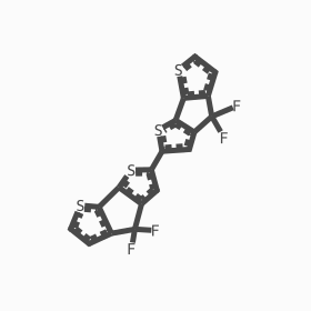 FC1(F)c2ccsc2-c2sc(-c3cc4c(s3)-c3sccc3C4(F)F)cc21